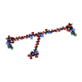 CC1(C)O[C@@H]2[C@H](O1)[C@H](Nc1nc(Cl)ns1)CO[C@@H]2COCCOCCOCCOCCNC(=O)CCOCC(COCCC(=O)NCCOCCOCCOCCOC[C@H]1OC[C@@H](Nc2nc(Cl)ns2)[C@H]2OC(C)(C)O[C@H]21)NC(=O)COCCOCCOCCNc1ccc([N+](=O)[O-])cc1[N+](=O)[O-]